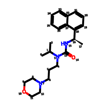 CC(C)N(CCCN1CCOCC1)C(=O)N[C@@H](C)c1cccc2ccccc12